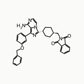 Nc1nccn2c1c(-c1cccc(OCc3ccccc3)c1)nc2[C@H]1CC[C@H](CN2C(=O)c3ccccc3C2=O)CC1